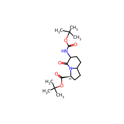 CC(C)(C)OC(=O)NC1CCC2CC[C@@H](C(=O)OC(C)(C)C)N2C1=O